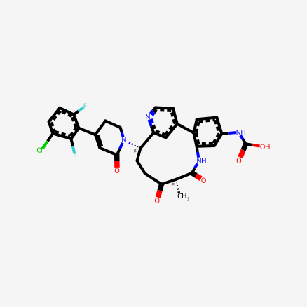 C[C@@H]1C(=O)CC[C@H](N2CCC(c3c(F)ccc(Cl)c3F)=CC2=O)c2cc(ccn2)-c2ccc(NC(=O)O)cc2NC1=O